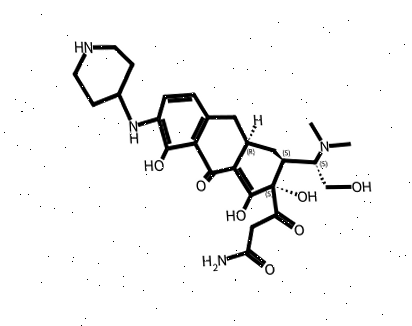 CN(C)[C@H](CO)[C@@H]1C[C@@H]2Cc3ccc(NC4CCNCC4)c(O)c3C(=O)C2=C(O)[C@]1(O)C(=O)CC(N)=O